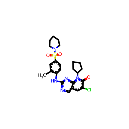 Cc1cc(S(=O)(=O)N2CCCCC2)ccc1Nc1ncc2cc(Cl)c(=O)n(C3CCCC3)c2n1